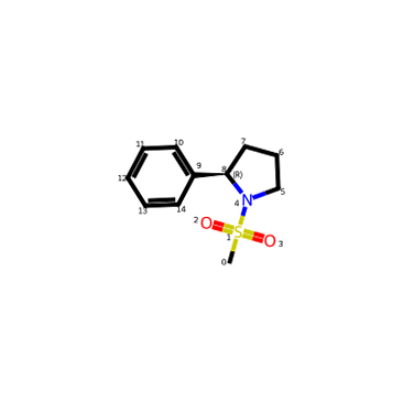 CS(=O)(=O)N1CCC[C@@H]1c1ccccc1